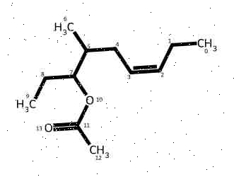 CC/C=C\CC(C)C(CC)OC(C)=O